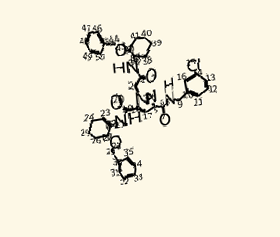 O=C(Cn1nc(C(=O)NCc2cccc(Cl)c2)cc1C(=O)N[C@H]1CCCC[C@@H]1OCc1ccccc1)N[C@H]1CCCC[C@@H]1OCc1ccccc1